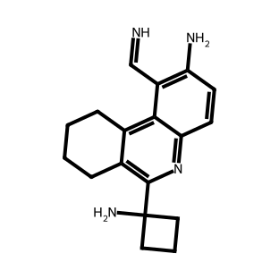 N=Cc1c(N)ccc2nc(C3(N)CCC3)c3c(c12)CCCC3